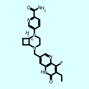 CCc1c(F)c2ncc(CN3CCN(c4ccc(C(N)=O)nc4)[C@@H]4CCC43)cc2[nH]c1=O